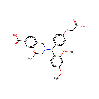 COc1ccc(C(c2ccc(OCC(=O)O)cc2)N(CC(C)=O)Cc2ccc(C(=O)O)cc2)c(OC)c1